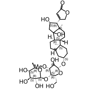 CO[C@@H]1[C@@H](O)[C@H](O[C@H]2CC[C@@]3(C)[C@H](CC[C@@H]4[C@@H]3CC[C@]3(C)[C@@H](C5=CC(=O)OC5)[C@@H](O)CC43O)C2)O[C@H](CO)[C@@H]1O[C@@H]1O[C@H](C)[C@@H](O)[C@H](O)[C@H]1O